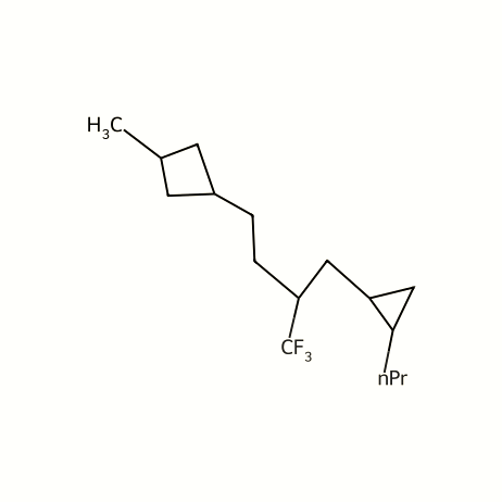 CCCC1CC1CC(CCC1CC(C)C1)C(F)(F)F